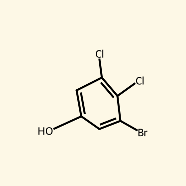 Oc1cc(Cl)c(Cl)c(Br)c1